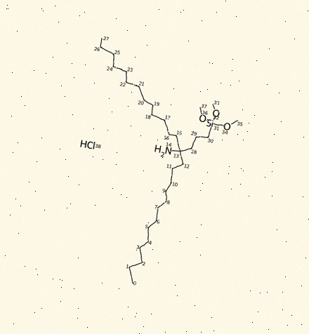 CCCCCCCCCCCCCC(N)(CCCCCCCCCCCCC)CCC[Si](OC)(OC)OC.Cl